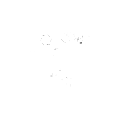 C=C(C)C(=O)[O-].CCC[CH2][Sn+]([CH2]CCC)[CH2]CCC.CCC[CH2][Sn+]([CH2]CCC)[CH2]CCC.O=C([O-])c1ccccc1C(=O)OCCO